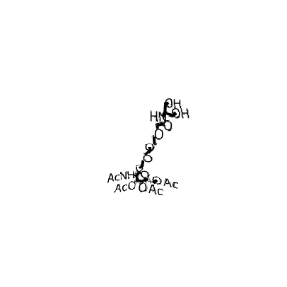 CC(=O)N[C@H]1[C@H](OCCOCCOCCOCC(=O)NC(CO)CO)O[C@H](COC(C)=O)[C@H](OC(C)=O)[C@@H]1OC(C)=O